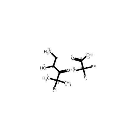 CC(C)(Br)C(=O)C(O)CN.O=C(O)C(F)(F)F